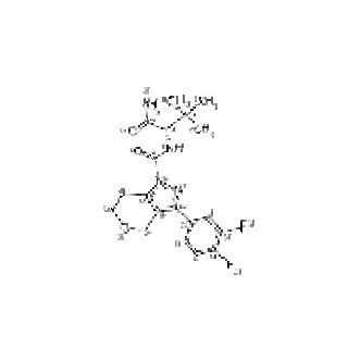 CC(C)(C)[C@H](NC(=O)n1nc(-c2ccc(F)c(F)c2)c2c1CCOC2)C(N)=O